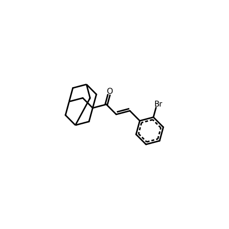 O=C(C=Cc1ccccc1Br)C12CC3CC(CC(C3)C1)C2